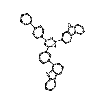 c1ccc(-c2ccc(-c3cc(-c4cccc(-c5cccc6c5sc5ccccc56)c4)nc(-c4ccc5c(c4)oc4ccccc45)n3)cc2)cc1